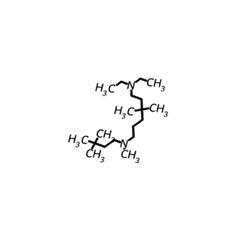 CCN(CC)CCC(C)(C)CCCN(C)CCC(C)(C)C